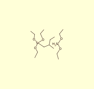 CCO[SiH2]OCC.CCO[Si](CC(C)CC)(OCC)OCC